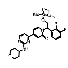 CC(C)(C)[Si](C)(C)OCC(c1cccc(F)c1F)n1ccc(-c2ccnc(NC3CCOCC3)n2)cc1=O